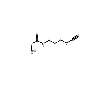 C#CCCCCOC(=O)NC(C)(C)C